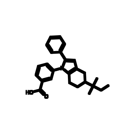 CCC(C)(C)C1CCc2c(cc(-c3ccccc3)n2-c2cccc(C(=O)O)c2)C1